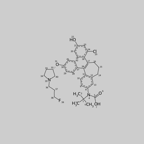 CC(C)(C)N(C(=O)O)c1ccc2c(c1)CCCC(c1ccc(O)cc1Cl)=C2c1ccc(O[C@H]2CCN(CCCF)C2)cc1